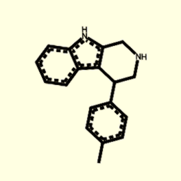 Cc1ccc(C2CNCc3[nH]c4ccccc4c32)cc1